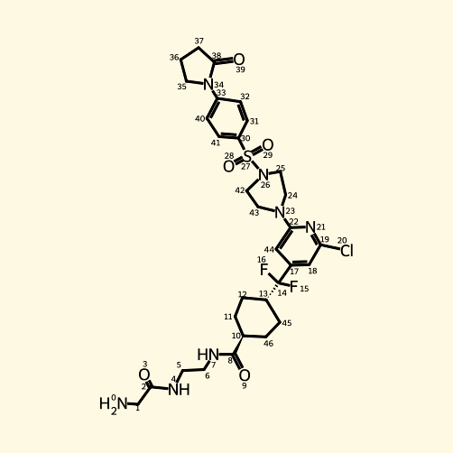 NCC(=O)NCCNC(=O)[C@H]1CC[C@H](C(F)(F)c2cc(Cl)nc(N3CCN(S(=O)(=O)c4ccc(N5CCCC5=O)cc4)CC3)c2)CC1